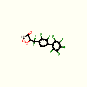 O=C1BOOC1C(F)(F)c1ccc(-c2c(F)c(F)c(F)c(F)c2F)c(F)c1F